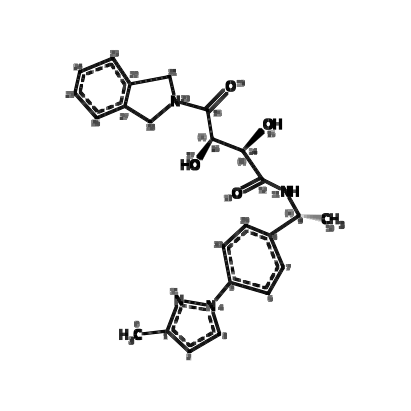 Cc1ccn(-c2ccc([C@@H](C)NC(=O)[C@H](O)[C@@H](O)C(=O)N3Cc4ccccc4C3)cc2)n1